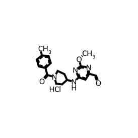 COc1nc(C=O)cc(NC2CCN(C(=O)c3ccc(C)cc3)CC2)n1.Cl